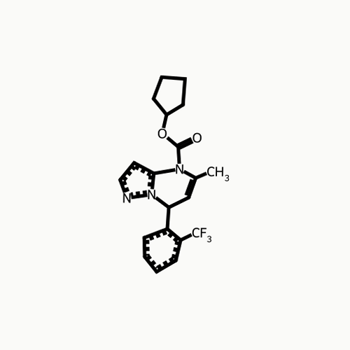 CC1=CC(c2ccccc2C(F)(F)F)n2nccc2N1C(=O)OC1CCCC1